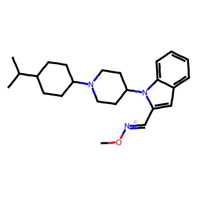 CO/N=C/c1cc2ccccc2n1C1CCN(C2CCC(C(C)C)CC2)CC1